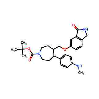 CNc1ccc(C2CCN(C(=O)OC(C)(C)C)CCC2COc2ccc3c(c2)C(=O)NC3)cc1